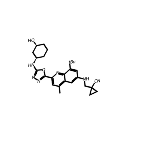 Cc1cc(-c2nnc(N[C@@H]3CCC[C@H](O)C3)o2)nc2c(C(C)(C)C)cc(NCC3(C#N)CC3)cc12